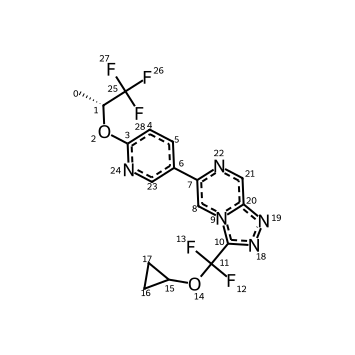 C[C@@H](Oc1ccc(-c2cn3c(C(F)(F)OC4CC4)nnc3cn2)cn1)C(F)(F)F